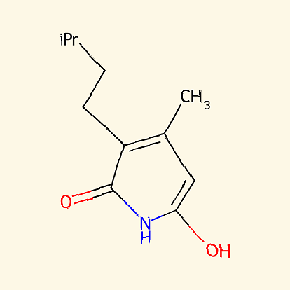 Cc1cc(O)[nH]c(=O)c1CCC(C)C